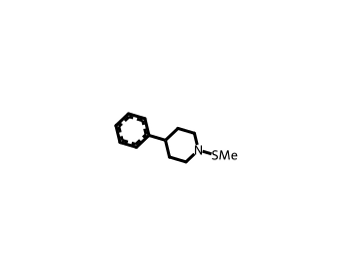 CSN1CCC(c2ccccc2)CC1